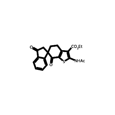 CCOC(=O)c1c(NC(C)=O)sc2c1CCC1(CC(=O)c3ccccc31)C2=O